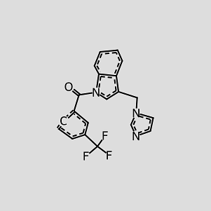 O=C(c1cccc(C(F)(F)F)c1)n1cc(Cn2ccnc2)c2ccccc21